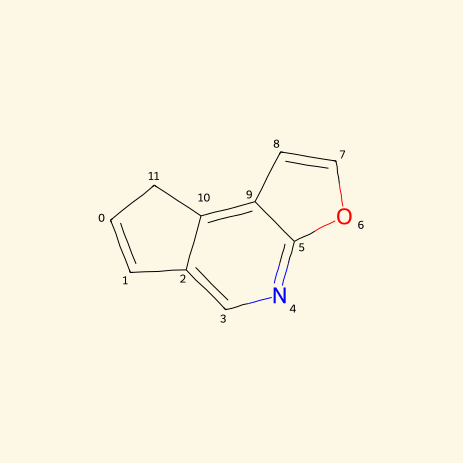 C1=Cc2cnc3occc3c2C1